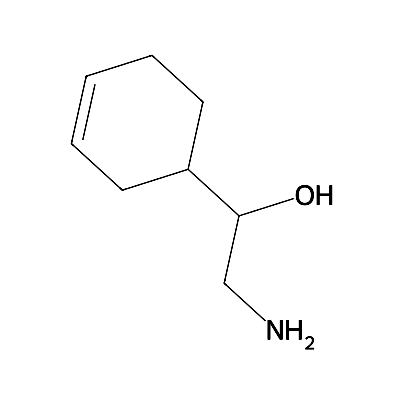 NCC(O)C1CC=CCC1